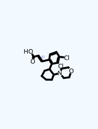 O=C(O)/C=C/c1ccc(Cl)c(Cl)c1C1CCCCC1N1CCOCC1